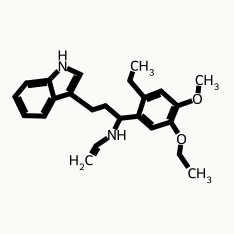 C=CNC(CCc1c[nH]c2ccccc12)c1cc(OCC)c(OC)cc1CC